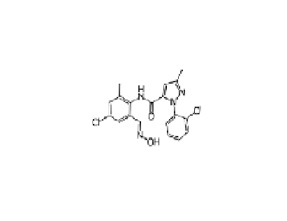 Cc1cc(C(=O)Nc2c(C)cc(Cl)cc2C=NO)n(-c2ccccc2Cl)n1